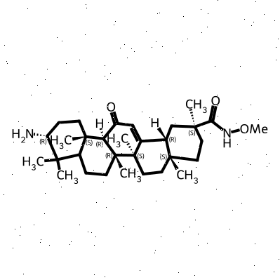 CONC(=O)[C@@]1(C)CC[C@]2(C)CC[C@]3(C)C(=CC(=O)[C@@H]4[C@@]5(C)CC[C@@H](N)C(C)(C)C5CC[C@]43C)[C@@H]2C1